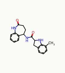 Cc1cccc2c1NC(C(=O)NC1CCC(=O)Nc3ccccc31)C2